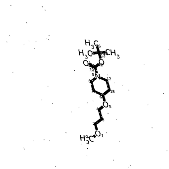 COCCCOC1CCN(C(=O)OC(C)(C)C)CC1